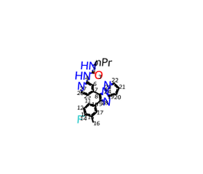 CCCNC(=O)Nc1cc(-c2c(-c3ccc(F)c(C)c3)nc3cccnn23)ccn1